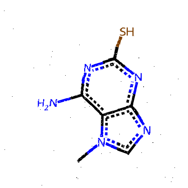 Cn1cnc2nc(S)nc(N)c21